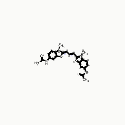 CC(=O)Nc1ccc2c(c1)S/C(=C\C=C\c1sc3cc(NC(C)=O)ccc3[n+]1C)N2C